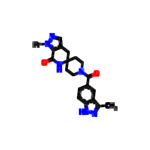 Cc1n[nH]c2ccc(C(=O)N3CCC4(CC3)Cc3cnn(C(C)C)c3C(=O)N4)cc12